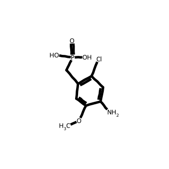 COc1cc(CP(=O)(O)O)c(Cl)cc1N